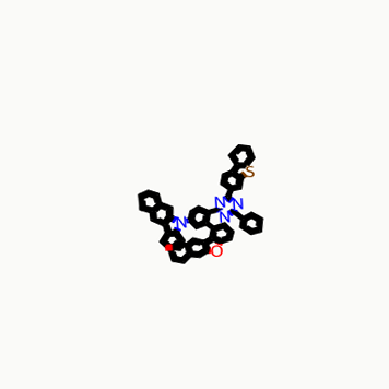 c1ccc(-c2nc(-c3ccc4c(c3)sc3ccccc34)nc(-c3ccc(-n4c5ccccc5c5cc6ccccc6cc54)cc3-c3cccc4oc5cc6ccccc6cc5c34)n2)cc1